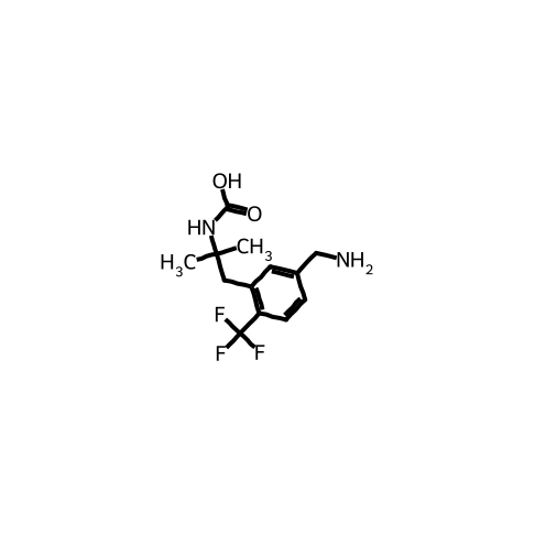 CC(C)(Cc1cc(CN)ccc1C(F)(F)F)NC(=O)O